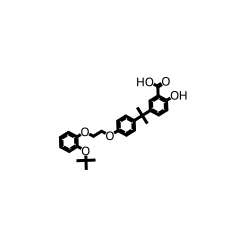 CC(C)(C)Oc1ccccc1OCCOc1ccc(C(C)(C)c2ccc(O)c(C(=O)O)c2)cc1